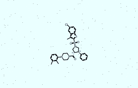 Cc1cccc(N2CCN(C(=O)[C@@H]3CN(S(=O)(=O)c4sc5ccc(Cl)cc5c4C)C[C@H]3c3ccccc3)CC2)c1C